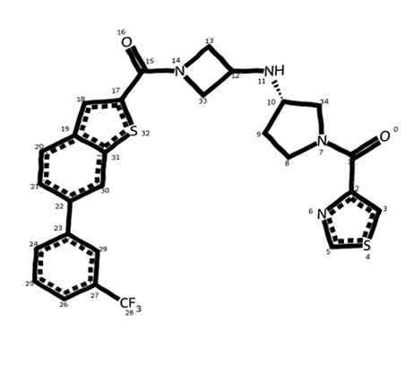 O=C(c1cscn1)N1CC[C@H](NC2CN(C(=O)c3cc4ccc(-c5cccc(C(F)(F)F)c5)cc4s3)C2)C1